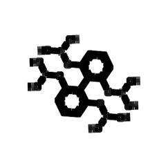 OP(O)Oc1cccc(OP(O)O)c1-c1c(OP(O)O)cccc1OP(O)O